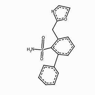 NS(=O)(=O)c1c(Cc2ncco2)cccc1-c1ccccc1